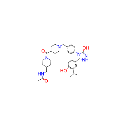 CC(=O)NCC1CCN(C(=O)C2CCN(Cc3ccc(N4C(O)=NNC4c4ccc(O)c(C(C)C)c4)cc3)CC2)CC1